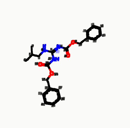 CC(C)CN/C(=N/C(=O)OCc1ccccc1)NC(=O)OCc1ccccc1